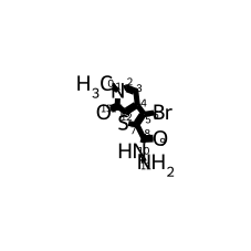 Cn1ccc2c(Br)c(C(=O)NN)sc2c1=O